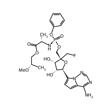 CO[C@@H](C)COC(=O)[C@H](C)N[P@@](=O)(OC[C@@]1(CF)O[C@@H](c2ccc3c(N)ncnn23)[C@H](O)[C@@H]1O)Oc1ccccc1